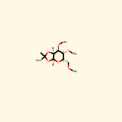 CCCCOC[C@@H]1O[C@H]2OC(C)(OC)O[C@H]2[C@@H](OCCCC)[C@@H]1OCCCC